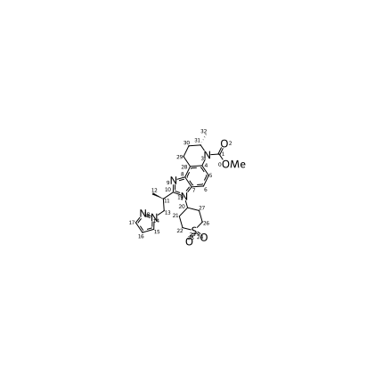 COC(=O)N1c2ccc3c(nc([C@H](C)Cn4cccn4)n3C3CCS(=O)(=O)CC3)c2CC[C@@H]1C